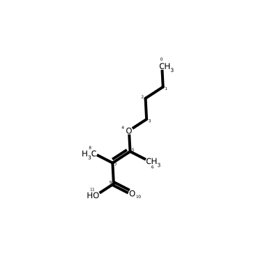 CCCCO/C(C)=C(\C)C(=O)O